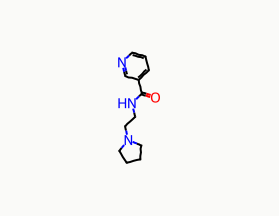 O=C(NCCN1CCCC1)c1cccnc1